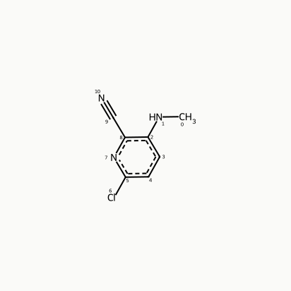 CNc1ccc(Cl)nc1C#N